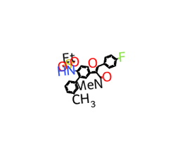 CCS(=O)(=O)Nc1cc2oc(-c3ccc(F)cc3)c(C(=O)NC)c2cc1-c1cccc(C)c1